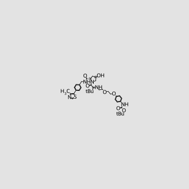 Cc1ncsc1-c1ccc(CNC(=O)[C@@H]2C[C@@H](O)CN2C(=O)[C@@H](NCCOCCOc2ccc(NC(=O)OC(C)(C)C)cc2)C(C)(C)C)cc1